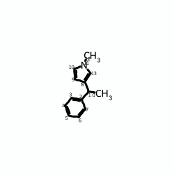 C[C](c1ccccc1)c1ccn(C)c1